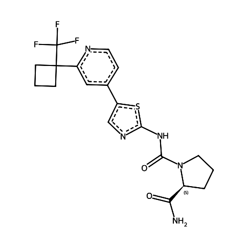 NC(=O)[C@@H]1CCCN1C(=O)Nc1ncc(-c2ccnc(C3(C(F)(F)F)CCC3)c2)s1